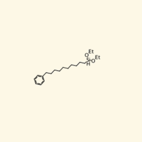 CCO[SiH](CCCCCCCCCCc1ccccc1)OCC